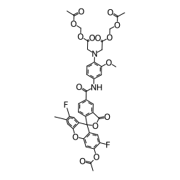 COc1cc(NC(=O)c2ccc3c(c2)C(=O)OC32c3cc(F)c(C)cc3Oc3cc(OC(C)=O)c(F)cc32)ccc1N(CC(=O)OCOC(C)=O)CC(=O)OCOC(C)=O